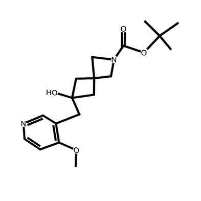 COc1ccncc1CC1(O)CC2(CN(C(=O)OC(C)(C)C)C2)C1